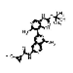 Cc1ncc(NC(=O)OC(C)(C)C)c(C)c1-c1cc2cc(NC(=O)[C@@H]3C[C@H]3C)ncc2c(N)n1